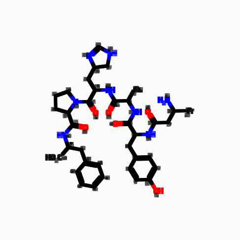 CCC(C)C(NC(=O)C(Cc1ccc(O)cc1)NC(=O)CC(N)C(C)C)C(=O)NC(CC1CNC=N1)C(=O)N1CCCC1C(=O)NC(Cc1ccccc1)C(=O)O